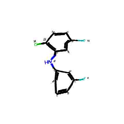 Fc1cccc(Nc2cc(F)ccc2Cl)c1